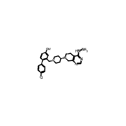 NNc1ncnc2c1CCN(C1CCN(Cc3cc(O)ccc3-c3ccc(Cl)cc3)CC1)C2